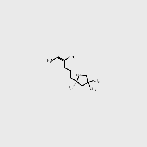 C/C(=C/N)CCC[C@]1(C)CC(C)(C)CN1